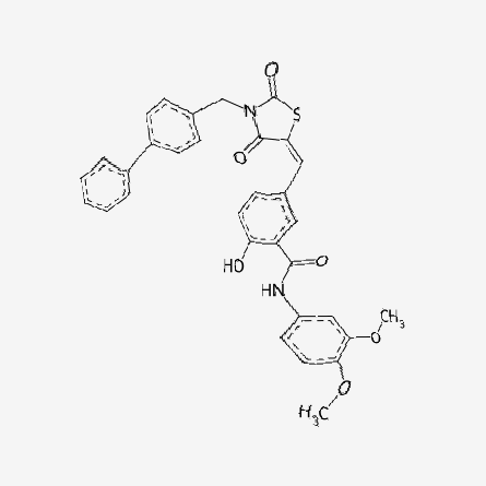 COc1ccc(NC(=O)c2cc(/C=C3/SC(=O)N(Cc4ccc(-c5ccccc5)cc4)C3=O)ccc2O)cc1OC